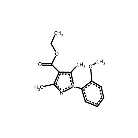 CCOC(=O)c1c(C)nn(-c2ccccc2OC)c1C